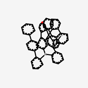 c1ccc(-c2ccc(-c3ccccc3N(c3ccc4c(c3)C3(c5ccccc5Sc5ccccc53)c3ccccc3-4)c3ccccc3-c3ccc(-c4ccccc4)c4ccccc34)cc2)cc1